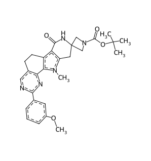 COc1cccc(-c2ncc3c(n2)-c2c(c4c(n2C)CC2(CN(C(=O)OC(C)(C)C)C2)NC4=O)CC3)c1